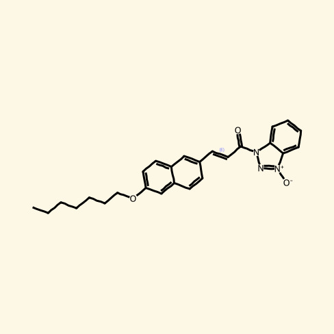 CCCCCCCOc1ccc2cc(/C=C/C(=O)n3n[n+]([O-])c4ccccc43)ccc2c1